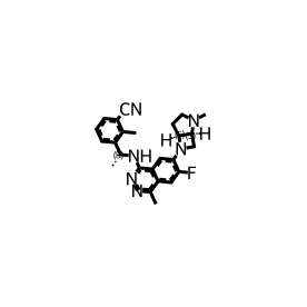 Cc1c(C#N)cccc1[C@@H](C)Nc1nnc(C)c2cc(F)c(N3C[C@H]4[C@@H]3CCN4C)cc12